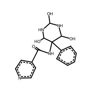 O=C(NC1(c2ccccc2)C(O)NC(O)NC1O)c1ccncc1